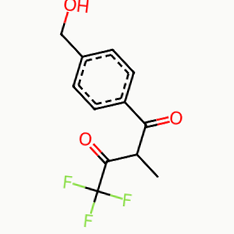 CC(C(=O)c1ccc(CO)cc1)C(=O)C(F)(F)F